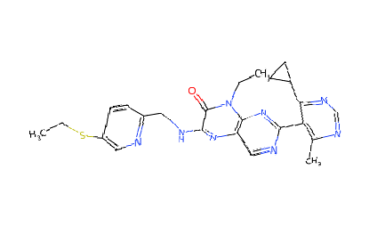 CCSc1ccc(CNc2nc3cnc(-c4c(C)ncnc4C4CC4)nc3n(CC)c2=O)nc1